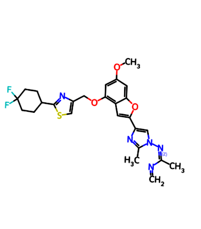 C=N/C(C)=N\n1cc(-c2cc3c(OCc4csc(C5CCC(F)(F)CC5)n4)cc(OC)cc3o2)nc1C